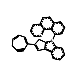 C1#CC(C2=Cc3c(n(-c4cccc5ccc6cccnc6c45)c4ccccc34)C2)=CC=CC1